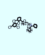 Cn1nnnc1/C(=N\OCc1nnc(-c2cccc(Cl)c2Oc2ccc(Cl)cc2Cl)o1)c1ccccc1